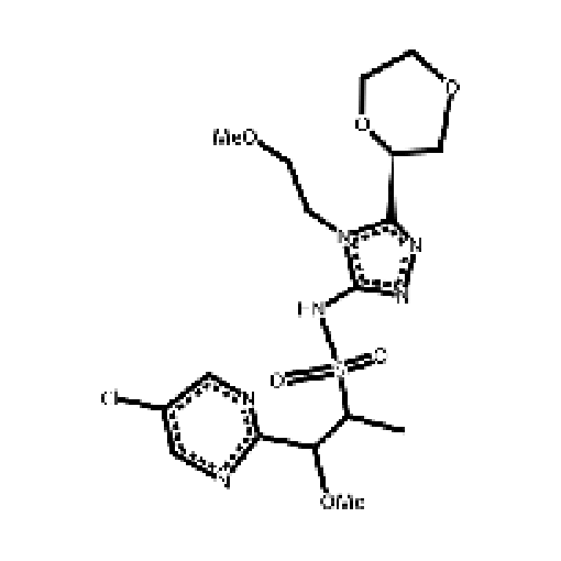 COCCn1c(NS(=O)(=O)C(C)C(OC)c2ncc(Cl)cn2)nnc1[C@@H]1COCCO1